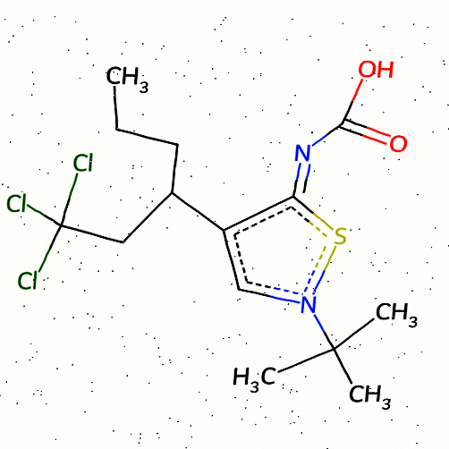 CCCC(CC(Cl)(Cl)Cl)c1cn(C(C)(C)C)sc1=NC(=O)O